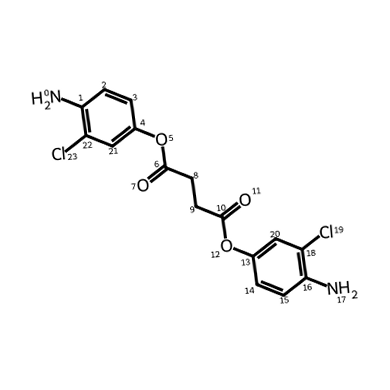 Nc1ccc(OC(=O)CCC(=O)Oc2ccc(N)c(Cl)c2)cc1Cl